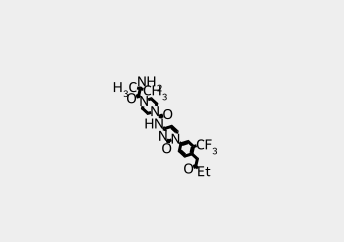 CCC(=O)Cc1ccc(-n2ccc(NC(=O)N3CCN(C(=O)C(C)(C)N)CC3)nc2=O)cc1C(F)(F)F